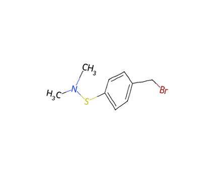 CN(C)Sc1ccc(CBr)cc1